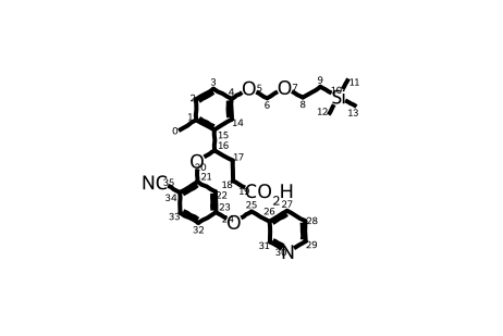 Cc1ccc(OCOCC[Si](C)(C)C)cc1C(CCC(=O)O)Oc1cc(OCc2cccnc2)ccc1C#N